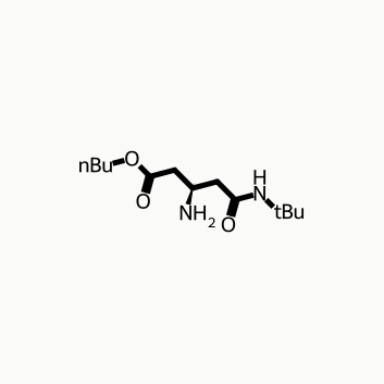 CCCCOC(=O)C[C@H](N)CC(=O)NC(C)(C)C